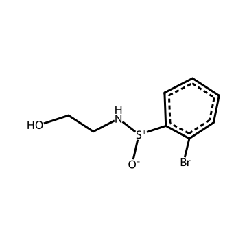 [O-][S+](NCCO)c1ccccc1Br